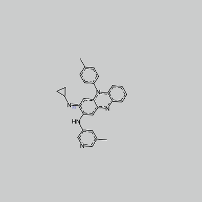 Cc1ccc(-n2c3c/c(=N\C4CC4)c(Nc4cncc(C)c4)cc-3nc3ccccc32)cc1